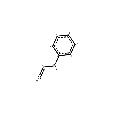 O=C[B]c1ccccc1